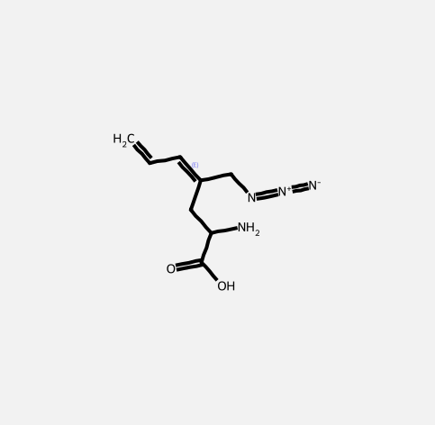 C=C/C=C(/CN=[N+]=[N-])CC(N)C(=O)O